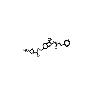 N#Cc1c(NC(=O)C=Cc2cccnc2)sc2c1CCC(COC(=O)N1CC(O)C1)C2